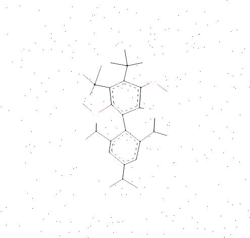 COc1c(P)c(-c2c(C(C)C)cc(C(C)C)cc2C(C)C)c(OC)c(C(C)(C)C)c1C(C)(C)C